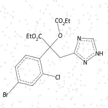 CCOC(=O)OC(Cc1nc[nH]n1)(C(=O)OCC)c1ccc(Br)cc1Cl